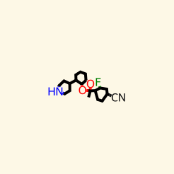 CC1(C2CCC(C#N)CC2F)OC2CCCC(C3CCNCC3)C2O1